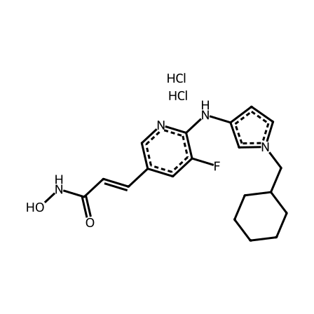 Cl.Cl.O=C(C=Cc1cnc(Nc2ccn(CC3CCCCC3)c2)c(F)c1)NO